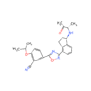 CC(=O)[C@H](C)N[C@@H]1CCc2c(-c3noc(-c4ccc(OC(C)C)c(C#N)c4)n3)cccc21